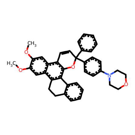 COc1cc2c3c(c4c(c2cc1OC)CCc1ccccc1-4)OC(c1ccccc1)(c1ccc(N2CCOCC2)cc1)C=C3